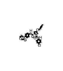 CC#CCO[C@@H]1C[C@H](C(=O)Nc2ccc(N3CCOCC3=O)cc2)N(C(=O)Nc2ccc(Cl)cc2)C1